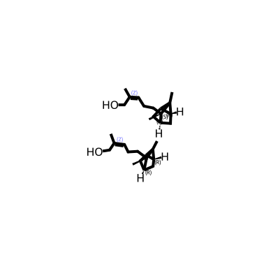 C/C(=C/CC[C@@]1(C)[C@@H]2CC3[C@@H](C2)C31C)CO.C/C(=C/CC[C@@]1(C)[C@@H]2CC3[C@@H](C2)C31C)CO